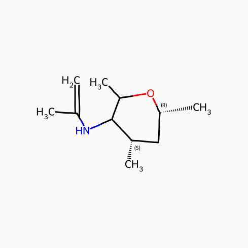 C=C(C)NC1C(C)O[C@H](C)C[C@@H]1C